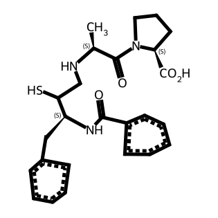 C[C@H](NCC(S)[C@H](Cc1ccccc1)NC(=O)c1ccccc1)C(=O)N1CCC[C@H]1C(=O)O